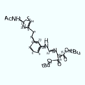 CC(=O)Nc1nc(CCc2cccc(NC=NN(C(=O)OC(C)(C)C)C(=O)OC(C)(C)C)c2)cs1